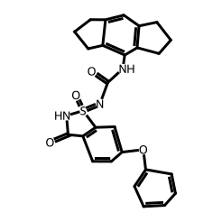 O=C(N=S1(=O)NC(=O)c2ccc(Oc3ccccc3)cc21)Nc1c2c(cc3c1CCC3)CCC2